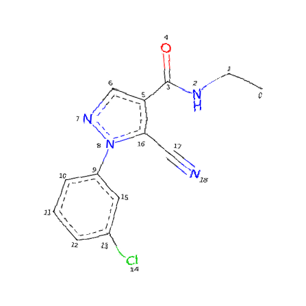 CCNC(=O)c1cnn(-c2cccc(Cl)c2)c1C#N